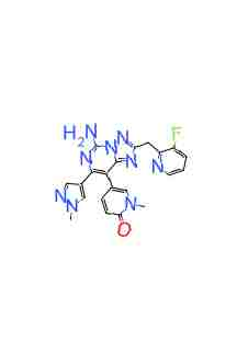 Cn1cc(-c2nc(N)n3nc(Cc4ncccc4F)nc3c2-c2ccc(=O)n(C)c2)cn1